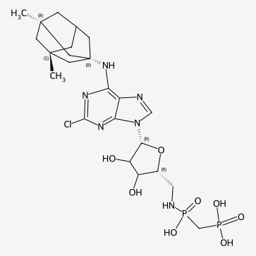 C[C@]12CC3C[C@](C)(C1)C[C@@](Nc1nc(Cl)nc4c1ncn4[C@@H]1O[C@H](CNP(=O)(O)CP(=O)(O)O)C(O)C1O)(C3)C2